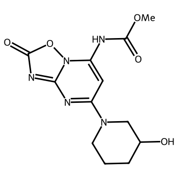 COC(=O)Nc1cc(N2CCCC(O)C2)nc2nc(=O)on12